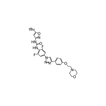 CC(C)(C)c1cc(NC(=O)Nc2c(F)cc(-n3cc(-c4ccc(OCCN5CCOCC5)cc4)nn3)cc2F)no1